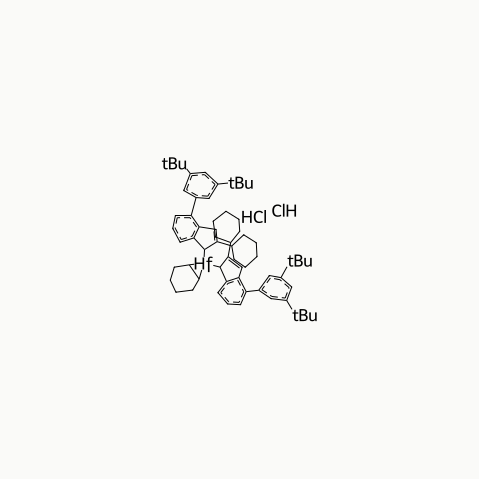 CC(C)(C)c1cc(-c2cccc3c2C=C(C2CCCCC2)[CH]3[Hf]2([CH]3C(C4CCCCC4)=Cc4c(-c5cc(C(C)(C)C)cc(C(C)(C)C)c5)cccc43)[CH]3CCCC[CH]32)cc(C(C)(C)C)c1.Cl.Cl